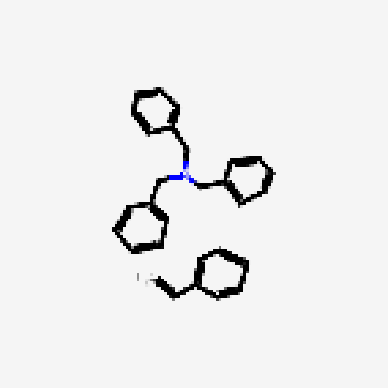 C=Cc1ccccc1.c1ccc(CN(Cc2ccccc2)Cc2ccccc2)cc1